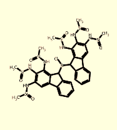 C[Si](=O)Nc1cc2c(c(N[Si](C)=O)c1N[Si](C)=O)C(B(Cl)C1c3ccccc3-c3cc(N[Si](C)=O)c(N[Si](C)=O)c(N[Si](C)=O)c31)c1ccccc1-2